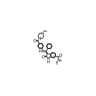 CCN1CCN(C(=O)c2ccc(N/C(=C3\C(=O)Nc4cc(C(=O)N(C)CC)ccc43)c3ccccc3)cc2)CC1